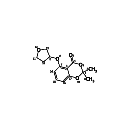 CC1(C)OC(=O)c2c(OC3CCOC3)cccc2O1